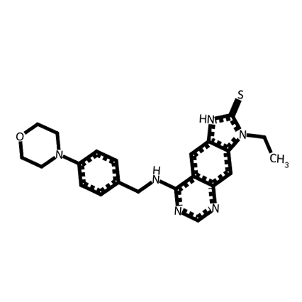 CCn1c(=S)[nH]c2cc3c(NCc4ccc(N5CCOCC5)cc4)ncnc3cc21